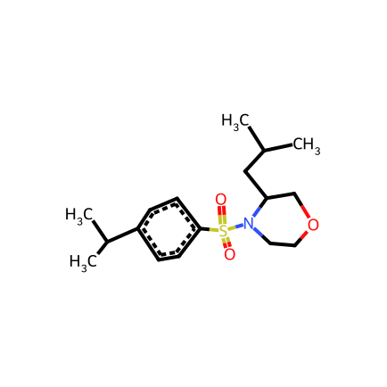 CC(C)CC1COCCN1S(=O)(=O)c1ccc(C(C)C)cc1